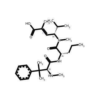 CCC[C@H](NC(=O)[C@@H](NC)C(C)(C)c1ccccc1)C(=O)N(C)[C@H](/C=C(\C)C(=O)O)C(C)C